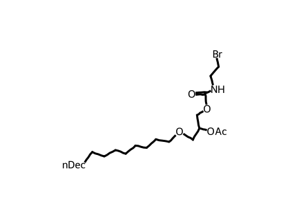 CCCCCCCCCCCCCCCCCCOCC(COC(=O)NCCBr)OC(C)=O